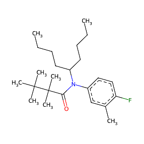 CCCCC(CCCC)N(C(=O)C(C)(C)C(C)(C)C)c1ccc(F)c(C)c1